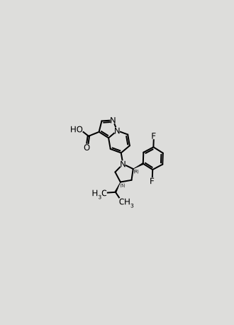 CC(C)[C@@H]1C[C@H](c2cc(F)ccc2F)N(c2ccn3ncc(C(=O)O)c3c2)C1